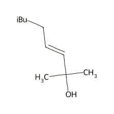 CCC(C)CC=CC(C)(C)O